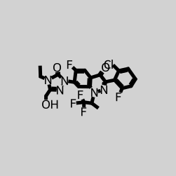 CCn1c(CO)nn(-c2cc3c(cc2F)c(=O)c(-c2c(F)cccc2Cl)nn3C(C)C(F)(F)F)c1=O